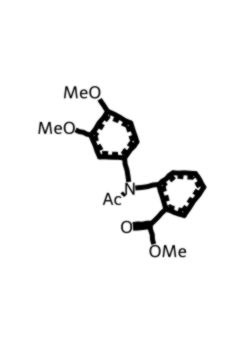 COC(=O)c1ccccc1N(C(C)=O)c1ccc(OC)c(OC)c1